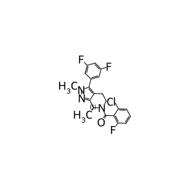 C[C@H]1c2nn(C)c(-c3cc(F)cc(F)c3)c2CCN1C(=O)c1c(F)cccc1Cl